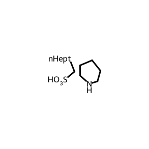 C1CCNCC1.CCCCCCCCS(=O)(=O)O